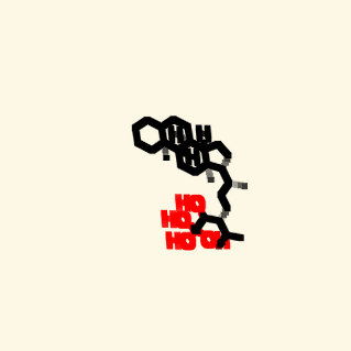 CC(C)[C@@H](CC[C@@H](C)[C@H]1CC[C@H]2[C@@H]3CCC4CCCC[C@]4(C)[C@H]3CC[C@]12C)C(O)C(O)(O)O